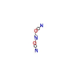 N#Cc1ccc(OCCCN2CCC(CCOc3ccc(C#N)cc3)CC2)cc1